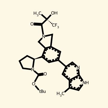 Cc1c[nH]c2ncc(-c3cc4c(c([C@@H]5CCCN5C(=O)OC(C)(C)C)c3)CN(C(=O)[C@@](C)(O)C(F)(F)F)C4)cc12